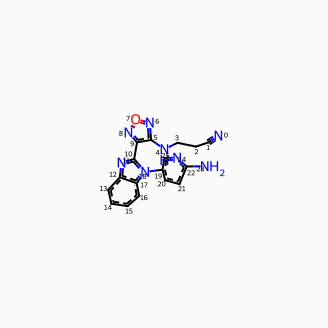 N#CCCNc1nonc1-c1nc2ccccc2n1-c1ccc(N)nc1